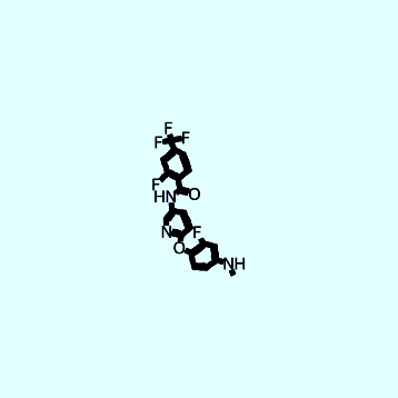 CNc1ccc(Oc2ccc(NC(=O)c3ccc(C(F)(F)F)cc3F)cn2)c(F)c1